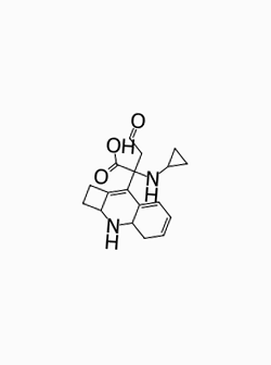 O=CCC(NC1CC1)(C(=O)O)C1=C2CCC2NC2CC=CC=C12